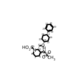 CS(=O)(=O)NC1CCCN(C(=O)O)[C@@H]1CO[C@H]1CC[C@@H](c2ccccc2)CC1